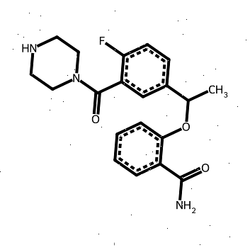 CC(Oc1ccccc1C(N)=O)c1ccc(F)c(C(=O)N2CCNCC2)c1